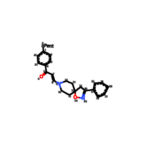 CCCCCc1ccc(C(=O)C=CN2CCC3(CC2)CC(c2ccccc2)=NO3)cc1